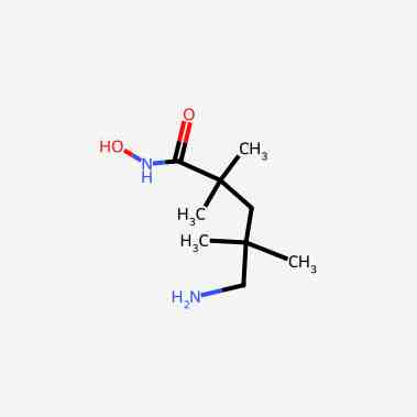 CC(C)(CN)CC(C)(C)C(=O)NO